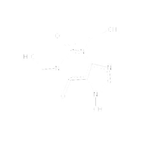 CCn1c(=O)c2c(ncn2C)n(CC)c1=O